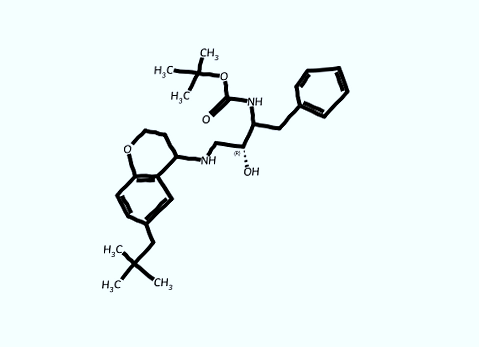 CC(C)(C)Cc1ccc2c(c1)C(NC[C@@H](O)C(Cc1ccccc1)NC(=O)OC(C)(C)C)CCO2